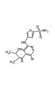 CC(O)C(C)Nc1nc(Nc2csc(S(N)(=O)=O)c2)ncc1Br